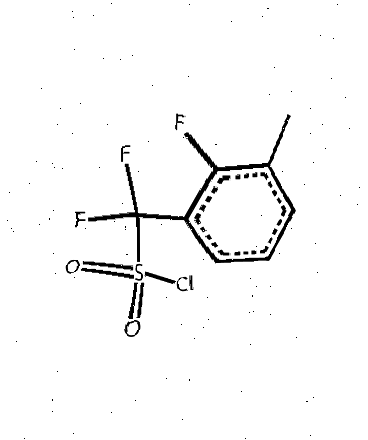 Cc1cccc(C(F)(F)S(=O)(=O)Cl)c1F